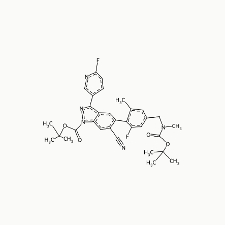 Cc1cc(CN(C)C(=O)OC(C)(C)C)cc(F)c1-c1cc2c(-c3ccc(F)nc3)nn(C(=O)OC(C)(C)C)c2cc1C#N